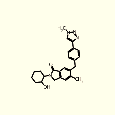 Cc1cc2c(cc1Cc1ccc(-c3cn(C)nn3)cc1)C(=O)N(C1CCCCC1O)C2